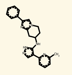 Cc1cccc(-c2cn[nH]c2NC2CCn3cc(-c4ccccc4)nc3C2)n1